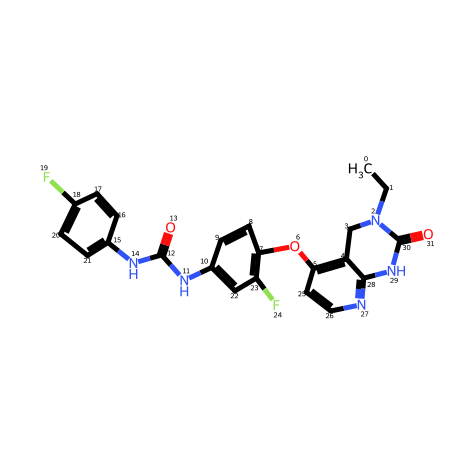 CCN1Cc2c(Oc3ccc(NC(=O)Nc4ccc(F)cc4)cc3F)ccnc2NC1=O